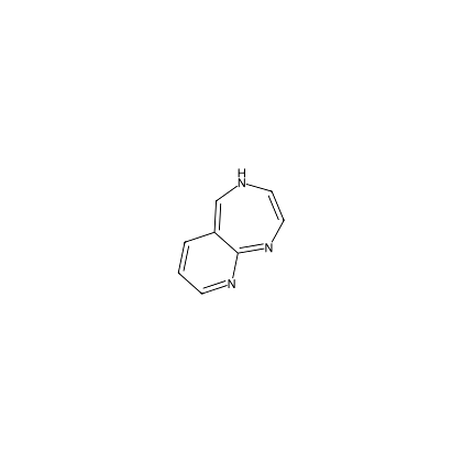 C1=CNC=c2cccnc2=N1